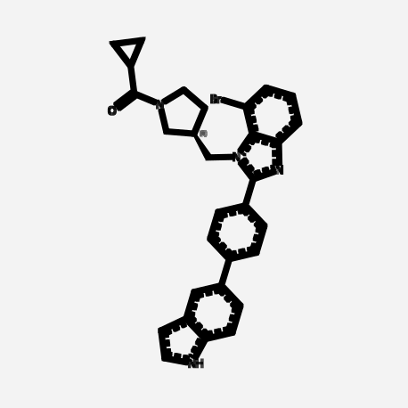 O=C(C1CC1)N1CC[C@@H](Cn2c(-c3ccc(-c4ccc5[nH]ccc5c4)cc3)nc3cccc(Br)c32)C1